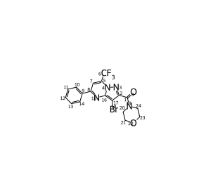 O=C(c1nn2c(C(F)(F)F)cc(-c3ccccc3)nc2c1Br)N1CCOCC1